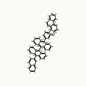 c1ccc2cc(-c3c4ccccc4c(-c4c5ccccc5c(-c5ccc6c(c5)oc5ccc7c8ccccc8ccc7c56)c5ccccc45)c4ccccc34)ccc2c1